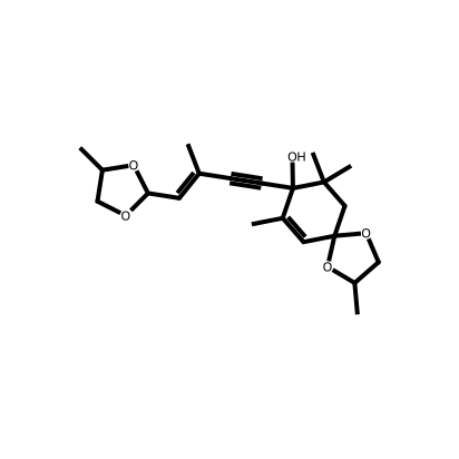 CC(C#CC1(O)C(C)=CC2(CC1(C)C)OCC(C)O2)=CC1OCC(C)O1